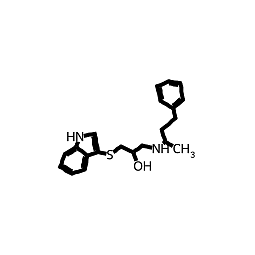 CC(CCc1ccccc1)NCC(O)CSc1c[nH]c2ccccc12